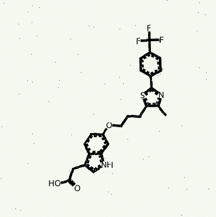 Cc1nc(-c2ccc(C(F)(F)F)cc2)sc1CCCOc1ccc2c(CC(=O)O)c[nH]c2c1